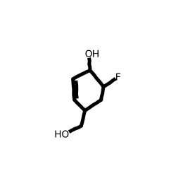 OCC1C=CC(O)C(F)C1